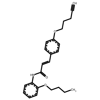 C#CCCCOc1ccc(/C=C/C(=O)Nc2ccccc2OCCCC)cc1